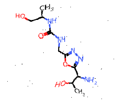 CC(O)C(N)c1nnc(CNC(=O)N[C@H](C)CO)o1